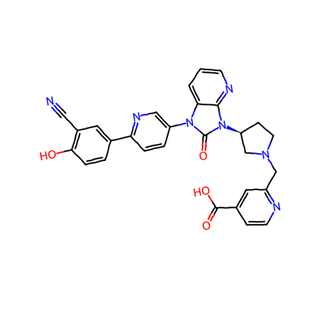 N#Cc1cc(-c2ccc(-n3c(=O)n([C@H]4CCN(Cc5cc(C(=O)O)ccn5)C4)c4ncccc43)cn2)ccc1O